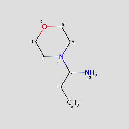 [CH2]CC(N)N1CCOCC1